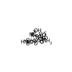 CCNS(=O)(=O)c1ccc(C(=O)N[C@H](CC2CCCCC2)C(=O)N2C[C@@H](n3nncc3C(C)(C)O)C[C@H]2C(=O)NC2(C(=O)C(N)=O)CCSCC2)cc1